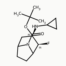 CC(C)(C)OC(=O)N1C2CCC1[C@H](F)[C@H](NC1CC1)C2